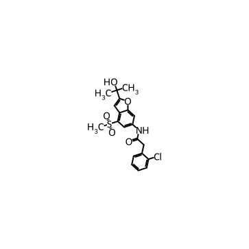 CC(C)(O)c1cc2c(S(C)(=O)=O)cc(NC(=O)Cc3ccccc3Cl)cc2o1